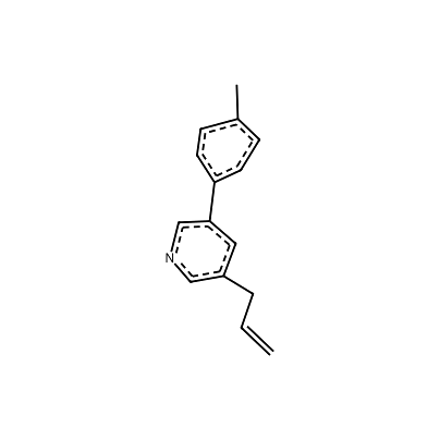 C=CCc1cncc(-c2ccc(C)cc2)c1